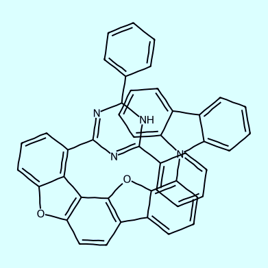 c1ccc(C2=NC(c3cccc4oc5ccc6c7cccc(-n8c9ccccc9c9ccccc98)c7oc6c5c34)=NC(c3ccccc3)N2)cc1